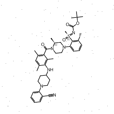 Cc1cc(C)c(C(=O)N2CCN(c3cccc(F)c3[S@](C)(=O)=NC(=O)OC(C)(C)C)C[C@@H]2C)c(C)c1NC1CCN(c2ccccc2C#N)CC1